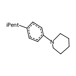 CCCC(C)c1ccc(N2CCCCC2)cc1